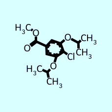 COC(=O)c1cc(OC(C)C)c(Cl)c(OC(C)C)c1